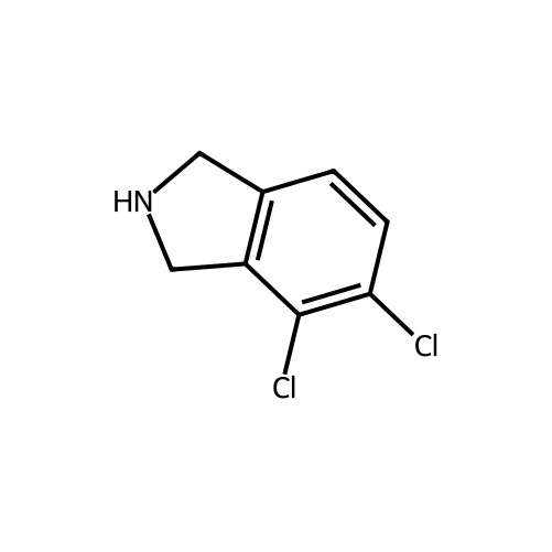 Clc1ccc2c(c1Cl)CNC2